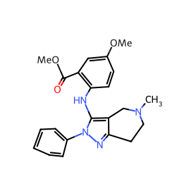 COC(=O)c1cc(OC)ccc1Nc1c2c(nn1-c1ccccc1)CCN(C)C2